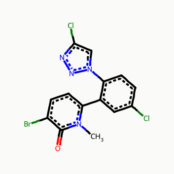 Cn1c(-c2cc(Cl)ccc2-n2cc(Cl)nn2)ccc(Br)c1=O